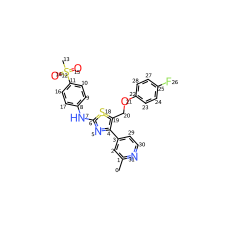 Cc1cc(-c2nc(Nc3ccc(S(C)(=O)=O)cc3)sc2COc2ccc(F)cc2)ccn1